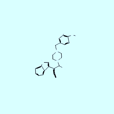 COc1ccc(CN2CCN(C(C)C(=C=O)c3csc4ccccc34)CC2)cc1.Cl